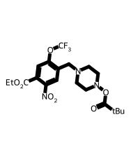 CCOC(=O)c1cc(OC(F)(F)F)c(CN2CCN(OC(=O)C(C)(C)C)CC2)cc1[N+](=O)[O-]